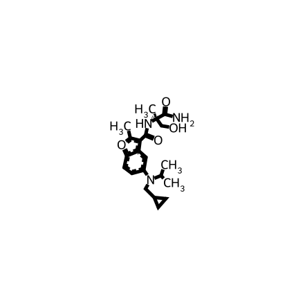 Cc1oc2ccc(N(CC3CC3)C(C)C)cc2c1C(=O)N[C@@](C)(CO)C(N)=O